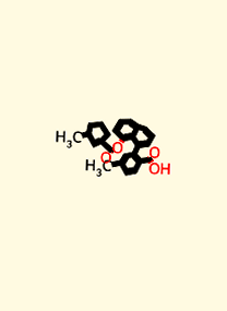 Cc1ccc(C(=O)O)c(-c2cccc3cccc(OC(=O)C4=CC(C)CCC4)c23)c1